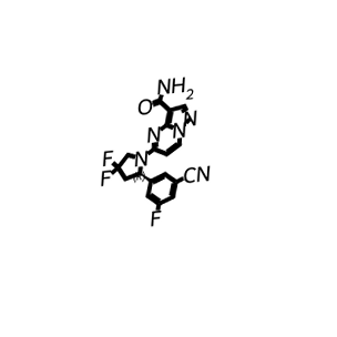 N#Cc1cc(F)cc([C@H]2CC(F)(F)CN2c2ccn3ncc(C(N)=O)c3n2)c1